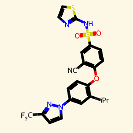 CC(C)c1cc(-n2ccc(C(F)(F)F)n2)ccc1Oc1ccc(S(=O)(=O)Nc2nccs2)cc1C#N